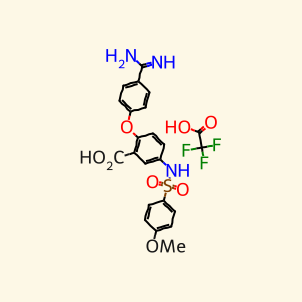 COc1ccc(S(=O)(=O)Nc2ccc(Oc3ccc(C(=N)N)cc3)c(C(=O)O)c2)cc1.O=C(O)C(F)(F)F